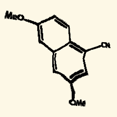 COc1ccc2c(C#N)cc(OC)cc2c1